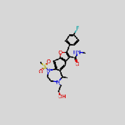 CNC(=O)c1c(-c2ccc(F)cc2)oc2cc3c(cc12)C(C)N(CCO)CCN3S(C)(=O)=O